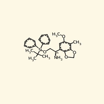 COc1cc([C@@H](N)CO[Si](c2ccccc2)(c2ccccc2)C(C)(C)C)c2c(c1C)OCO2